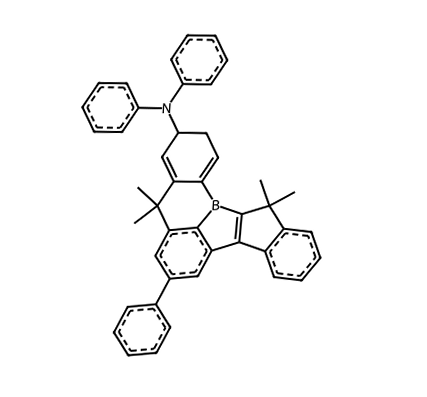 CC1(C)C2=C(c3ccccc31)c1cc(-c3ccccc3)cc3c1B2C1=CCC(N(c2ccccc2)c2ccccc2)C=C1C3(C)C